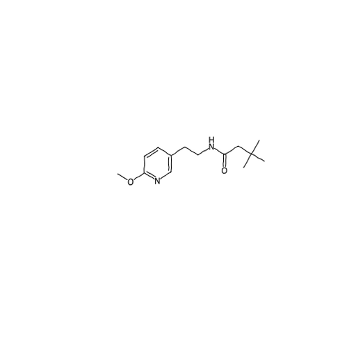 COc1ccc(CCNC(=O)CC(C)(C)C)cn1